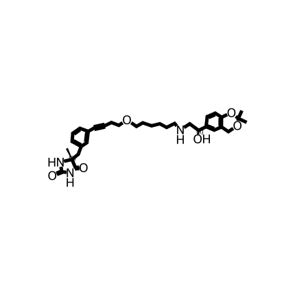 CC1(C)OCc2cc([C@@H](O)CNCCCCCCOCCC#Cc3cccc(C[C@@]4(C)NC(=O)NC4=O)c3)ccc2O1